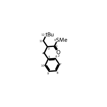 CSC(=O)C(Cc1ccccc1)CC(C)(C)C